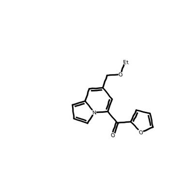 CCOCc1cc(C(=O)c2ccco2)n2cccc2c1